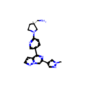 Cn1cc(-c2cn3nccc3c(-c3ccc(N4CC[C@H](CN)C4)nc3)n2)cn1